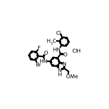 COCc1nc2c(C(=O)Nc3cccc(Cl)c3C)cc(NC(=O)c3c(F)cccc3Br)cc2[nH]1.Cl